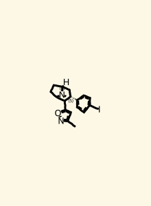 Cc1cc(C2C3CC[C@H](C[C@@H]2c2ccc(I)cc2)N3C)on1